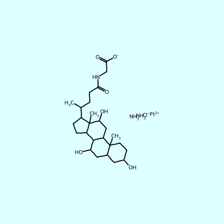 CC(CCC(=O)NCC(=O)[O-])C1CCC2C3C(O)CC4CC(O)CCC4(C)C3CC(O)C12C.N.N.[Cl-].[Pt+2]